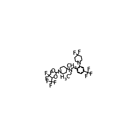 CCN(Cc1ccc(C(F)(F)F)cc1N1CCC(F)(F)CC1)C1(C)CCN(C(=O)OC(C(F)(F)F)C(F)(F)F)CC1